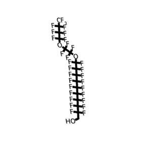 OCC(F)(F)C(F)(F)C(F)(F)C(F)(F)C(F)(F)C(F)(F)C(F)(F)C(F)(F)C(F)(F)OC(F)(F)C(F)(F)OC(F)(F)C(F)(F)C(F)(F)C(F)(F)F